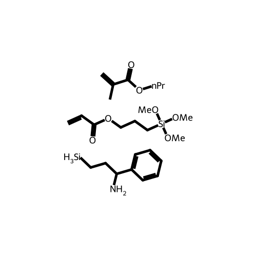 C=CC(=O)OCCC[Si](OC)(OC)OC.NC(CC[SiH3])c1ccccc1.[CH2]CCOC(=O)C(=C)C